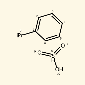 CC(C)c1ccccc1.O=[SH](=O)O